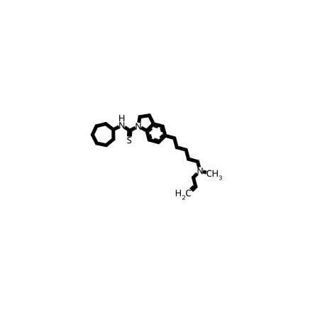 C=CCN(C)CCCCCc1ccc2c(c1)CCN2C(=S)NC1CCCCCC1